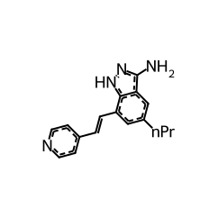 CCCc1cc(C=Cc2ccncc2)c2[nH]nc(N)c2c1